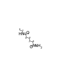 CCNC(=O)[CH]CCCC(N)=O